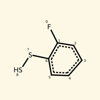 Fc1ccccc1SS